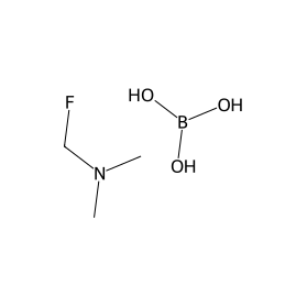 CN(C)CF.OB(O)O